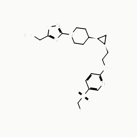 CCc1nc(N2CCC([C@H]3C[C@H]3CCOc3ccc(S(=O)(=O)CF)cn3)CC2)no1